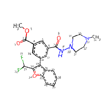 COC(=O)c1cc(C(=O)NN2CCN(C)CC2)cc(-c2c(C(F)F)oc3ccccc23)c1